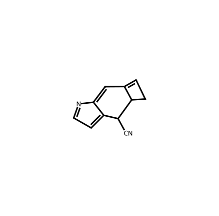 N#CC1C2=CC=NC2=CC2=CCC21